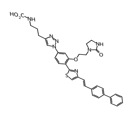 O=C(O)NCCCc1cn(-c2ccc(-c3nc(C=Cc4ccc(-c5ccccc5)cc4)cs3)c(OCCN3CCNC3=O)c2)nn1